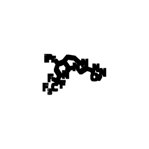 CC(C)c1cc(C(F)(F)C(F)(F)F)nc2c1ccc1nc(-c3nnco3)cn12